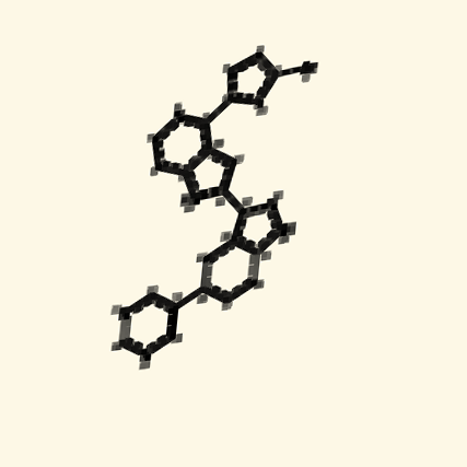 CC(=O)c1ccc(-c2nccc3[nH]c(-c4n[nH]c5ccc(-c6cncnc6)cc45)cc23)s1